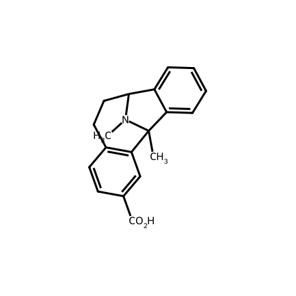 CN1C2CCc3ccc(C(=O)O)cc3C1(C)c1ccccc12